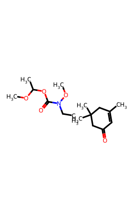 CC1=CC(=O)CC(C)(C)C1.CCN(OC)C(=O)OC(C)OC